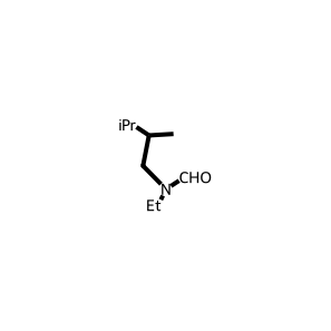 CCN(C=O)CC(C)C(C)C